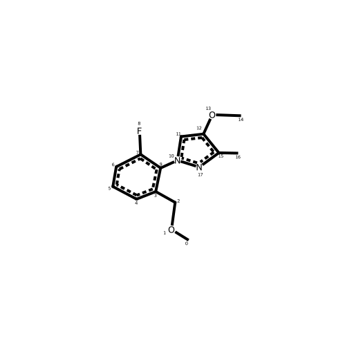 COCc1cccc(F)c1-n1cc(OC)c(C)n1